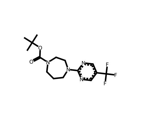 CC(C)(C)OC(=O)N1CCCN(c2ncc(C(F)(F)F)cn2)CC1